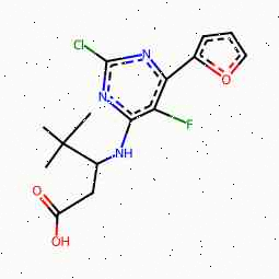 CC(C)(C)C(CC(=O)O)Nc1nc(Cl)nc(-c2ccco2)c1F